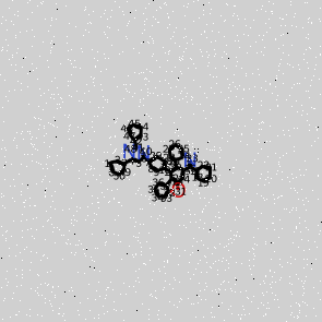 c1ccc(-c2cc(-c3ccc(-c4c5c(cc6c(-c7ccccc7)nc7ccccc7c46)oc4ccccc45)cc3)nc(-c3ccccc3)n2)cc1